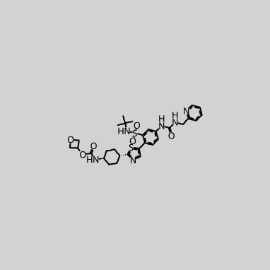 CC(C)(C)NS(=O)(=O)c1cc(NC(=O)NCc2ccccn2)ccc1-c1cnc([C@H]2CC[C@H](NC(=O)OC3COC3)CC2)s1